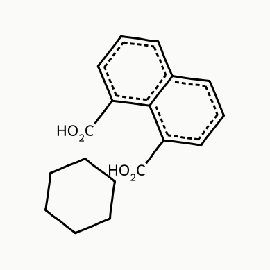 C1CCCCC1.O=C(O)c1cccc2cccc(C(=O)O)c12